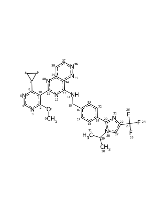 COc1ncnc(C2CC2)c1-c1nc(NCc2ccc(-c3nc(C(F)(F)F)cn3C(C)C)cc2)c2nnccc2n1